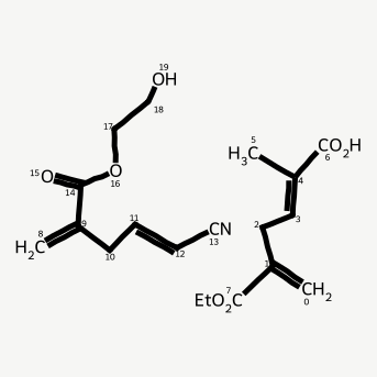 C=C(CC=C(C)C(=O)O)C(=O)OCC.C=C(CC=CC#N)C(=O)OCCO